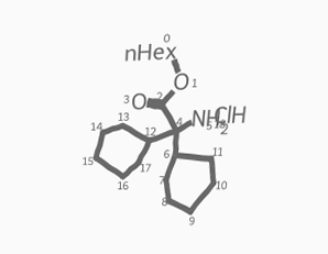 CCCCCCOC(=O)C(N)(C1CCCCC1)C1CCCCC1.Cl